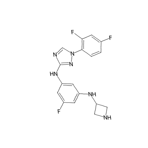 Fc1cc(Nc2ncn(-c3ccc(F)cc3F)n2)cc(NC2CNC2)c1